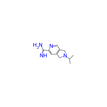 CC(C)N1Cc2cnc(C(=N)N)cc2C1